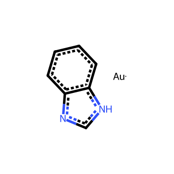 [Au].c1ccc2[nH]cnc2c1